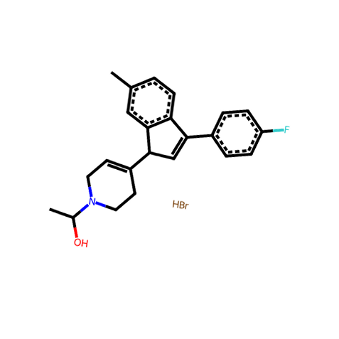 Br.Cc1ccc2c(c1)C(C1=CCN(C(C)O)CC1)C=C2c1ccc(F)cc1